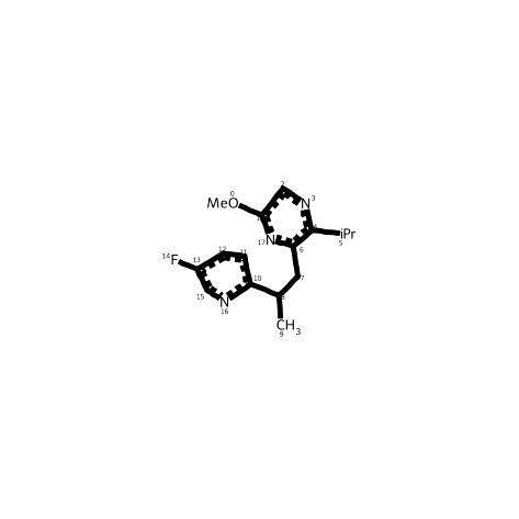 COc1cnc(C(C)C)c(CC(C)c2ccc(F)cn2)n1